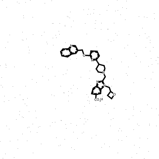 O=C(O)c1ccc2nc(CN3CCC(c4cccc(OCc5cnc6ccccc6c5)n4)CC3)n(CC3CCO3)c2c1